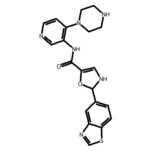 O=C(Nc1cnccc1N1CCNCC1)C1=CNC(c2ccc3scnc3c2)O1